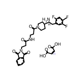 N[C@H](Cc1cc(F)c(F)cc1F)C1CCN(C(=O)CCNC(=O)CCN2C(=O)c3ccccc3C2=O)CC1.O=C(O)/C=C\C(=O)O